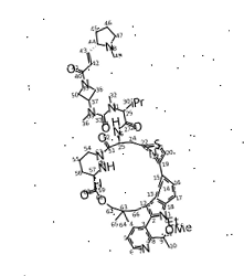 CCn1c(-c2cccnc2[C@H](C)OC)c2c3cc(ccc31)-c1csc(n1)C[C@H](NC(=O)C(C(C)C)N(C)C(=O)N(C)C1CN(C(=O)/C=C/[C@@H]3CCCN3C)C1)C(=O)N1CCC[C@H](N1)C(=O)OCC(C)(C)C2